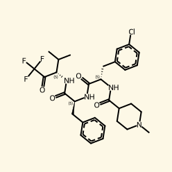 CC(C)[C@H](NC(=O)[C@H](Cc1ccccc1)NC(=O)[C@H](Cc1cccc(Cl)c1)NC(=O)C1CCN(C)CC1)C(=O)C(F)(F)F